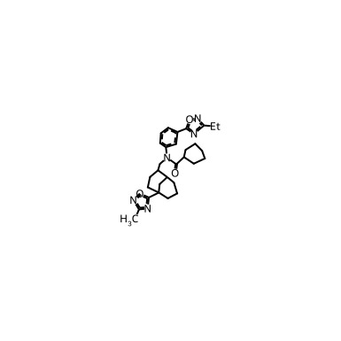 CCc1noc(-c2cccc(N(CC3CCC4(c5nc(C)no5)CCCC3C4)C(=O)C3CCCCC3)c2)n1